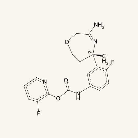 C[C@@]1(c2cc(NC(=O)Oc3ncccc3F)ccc2F)CCOCC(N)=N1